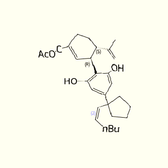 C=C(C)[C@H]1CCC(COC(C)=O)=C[C@@H]1c1c(O)cc(C2(/C=C\CCCC)CCCC2)cc1O